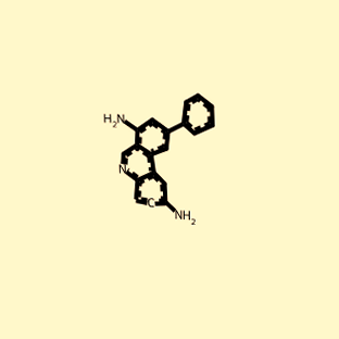 Nc1ccc2ncc3c(N)cc(-c4ccccc4)cc3c2c1